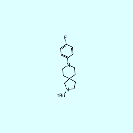 CC(C)(C)N1CCC2(CCN(c3ccc(F)cc3)CC2)C1